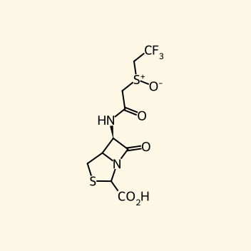 O=C(C[S+]([O-])CC(F)(F)F)N[C@H]1C(=O)N2C(C(=O)O)SCC12